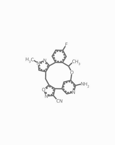 CC1Oc2cc(cnc2N)-c2c(C#N)noc2Cc2cn(C)nc2-c2ccc(F)cc21